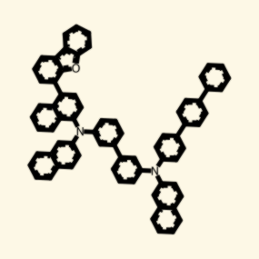 c1ccc(-c2ccc(-c3ccc(N(c4cccc(-c5cccc(N(c6ccc7ccccc7c6)c6ccc(-c7cccc8c7oc7ccccc78)c7ccccc67)c5)c4)c4ccc5ccccc5c4)cc3)cc2)cc1